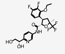 CCOc1c([C@H]2C[C@@](C)(C(F)(F)F)O[C@@H]2C(=O)Nc2ccc([C@H](O)CO)nc2)ccc(F)c1F